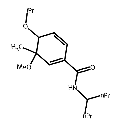 CCCC(CCC)NC(=O)C1=CC(C)(OC)C(OC(C)C)C=C1